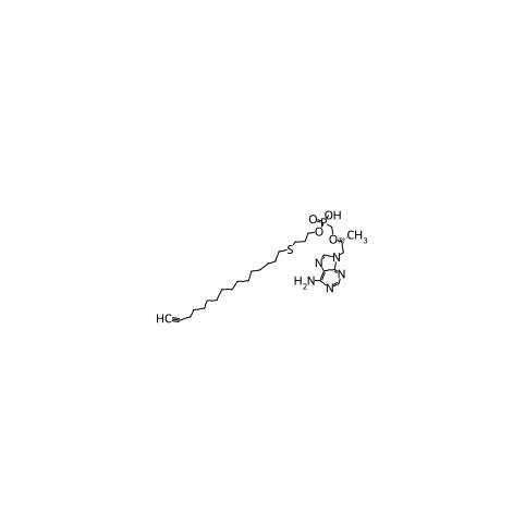 C#CCCCCCCCCCCCCCCSCCCOP(=O)(O)CO[C@H](C)Cn1cnc2c(N)ncnc21